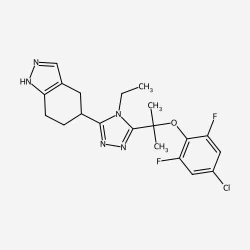 CCn1c(C2CCc3[nH]ncc3C2)nnc1C(C)(C)Oc1c(F)cc(Cl)cc1F